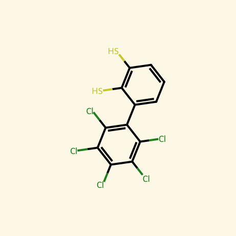 Sc1cccc(-c2c(Cl)c(Cl)c(Cl)c(Cl)c2Cl)c1S